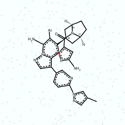 CC(=O)c1c([C@H]2C[C@H]3CC[C@@H](C2)N3C(=O)c2cc(N)n[nH]2)nc2c(-c3ccc(-n4cc(C)cn4)nc3)cnn2c1N